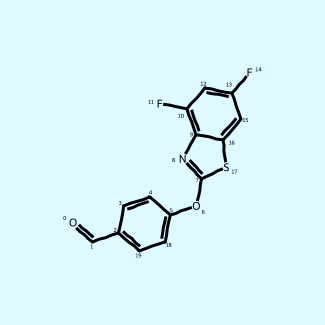 O=Cc1ccc(Oc2nc3c(F)cc(F)cc3s2)cc1